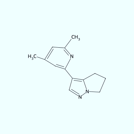 Cc1cc(C)nc(-c2cnn3c2CCC3)c1